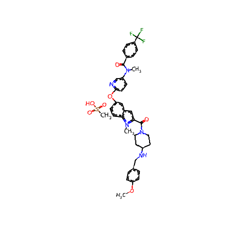 COc1ccc(CNC2CCN(C(=O)c3cc4cc(Oc5ccc(N(C)C(=O)c6ccc(C(F)(F)F)cc6)cn5)ccc4n3C)CC2)cc1.CS(=O)(=O)O